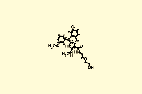 CNC1=C(C(=O)NCCOCCO)N(Cc2ccc(Cl)cc2)C(Oc2cccc(OC)c2)N1